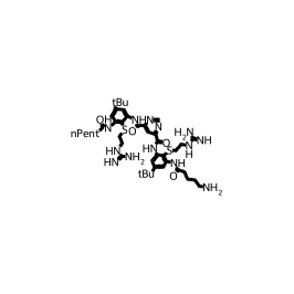 CCCCCC(=O)Nc1cc(C(C)(C)C)cc(NC(=O)c2cc(C(=O)Nc3cc(C(C)(C)C)cc(NC(=O)CCCCN)c3SCCNC(=N)N)ncn2)c1SCCNC(=N)N